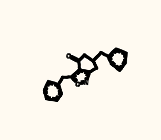 O=C1CC(Cc2ccccc2)Cc2noc(Cc3ccccc3)c21